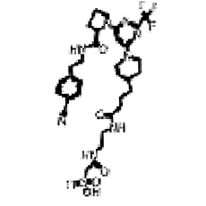 N#Cc1ccc(CCNC(=O)C2CCCN2c2cc(N3CCC(CCCC(=O)NCCNC(=O)CS(=O)(=O)O)CC3)nc(C(F)(F)F)n2)cc1